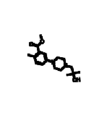 COC(=O)c1cc(N2CCN(CC(C)(C)O)CC2)ccc1C